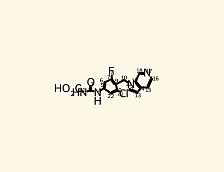 O=C(O)NC(=O)Nc1cc(F)c(Cn2ccc3ccncc32)c(Cl)c1